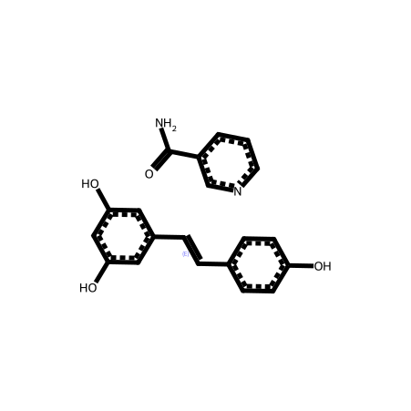 NC(=O)c1cccnc1.Oc1ccc(/C=C/c2cc(O)cc(O)c2)cc1